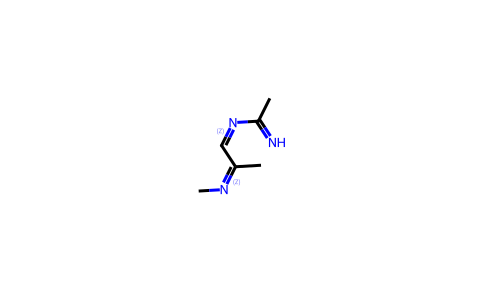 C/N=C(C)\C=N/C(C)=N